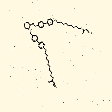 C=CC(=O)OCCCCCCCCCOc1cnc(-c2ccc(CO[C@@H]3CCCC[C@H]3OCc3ccc(-c4ncc(OCCCCCCCCCOC(=O)C=C)cn4)cc3)cc2)nc1